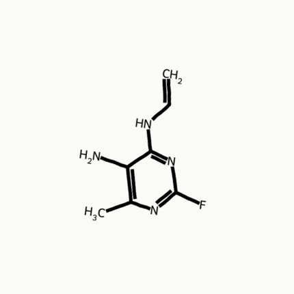 C=CNc1nc(F)nc(C)c1N